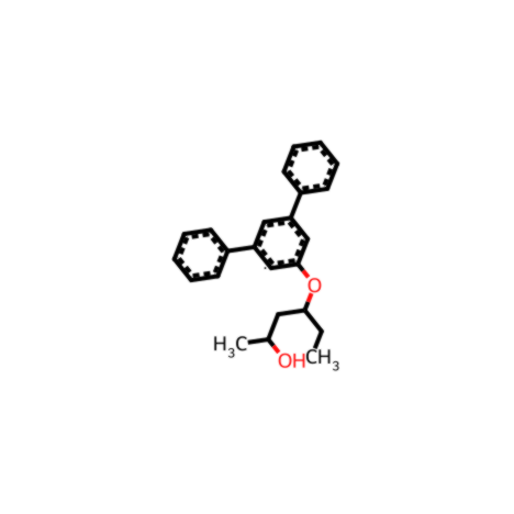 CCC(CC(C)O)Oc1[c]c(-c2ccccc2)cc(-c2ccccc2)c1